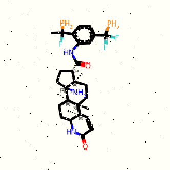 CC(F)(P)c1ccc(C(F)(F)P)cc1NC(=O)[C@H]1CC[C@@]2(N)[C@]3(C)CCC4NC(=O)C=C[C@]4(C)[C@@]3(C)CC[C@]12C